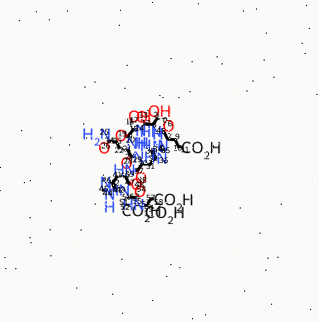 C[C@@H](O)[C@H](NC(=O)[C@@H](N)CCC(=O)O)C(=O)N[C@@H](CO)C(=O)N[C@@H](CCC(N)=O)C(=O)N[C@@H](Cc1c[nH]cn1)C(=O)N[C@@H](Cc1c[nH]cn1)C(=O)N[C@@H](CC(=O)O)C(=O)N[C@@H](CC(=O)O)C(=O)O